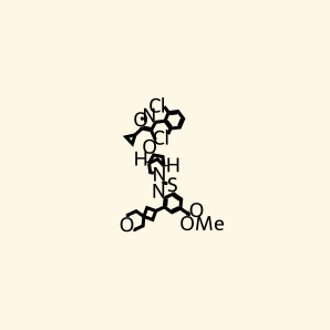 COC(=O)c1cc(C2CC3(CCOCC3)C2)c2nc(N3C[C@@H]4C[C@H]3C[C@H]4OCc3c(-c4c(Cl)cccc4Cl)noc3C3CC3)sc2c1